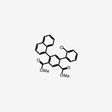 COC(=O)c1cc(C(=O)OC)c(-c2cccc3ccccc23)cc1-c1ccccc1Cl